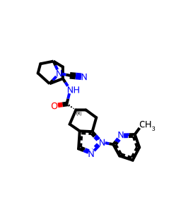 Cc1cccc(-n2ncc3c2CC[C@@H](C(=O)NC2CC4CCC2N4C#N)C3)n1